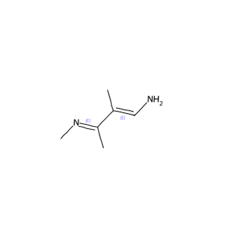 C/N=C(C)/C(C)=C/N